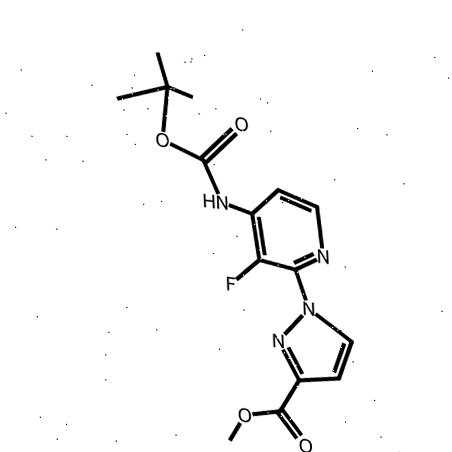 COC(=O)c1ccn(-c2nccc(NC(=O)OC(C)(C)C)c2F)n1